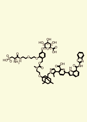 Cc1c(-c2ccc(-c3cc4cccc(C(=O)Nc5nc6ccccc6s5)c4[nH]3)nc2C(=O)O)cnn1CC12CC3(C)CC(C)(C1)CC(OCCN(C)C(=O)OCc1ccc(O[C@@H]4O[C@H](C(=O)O)[C@@H](O)[C@H](O)[C@H]4O)cc1OCCOCCNC(=O)[C@@H](N)CS(=O)(=O)O)(C3)C2